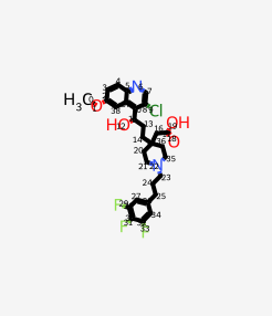 COc1ccc2ncc(Cl)c(C(O)CCC3(CC(=O)O)CCN(CCCc4cc(F)c(F)c(F)c4)CC3)c2c1